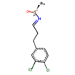 CC(C)(C)[S@+]([O-])N=CCCc1ccc(Cl)c(Cl)c1